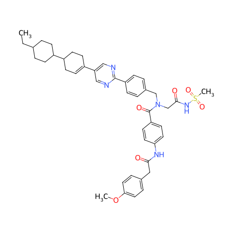 CCC1CCC(C2CC=C(c3cnc(-c4ccc(CN(CC(=O)NS(C)(=O)=O)C(=O)c5ccc(NC(=O)Cc6ccc(OC)cc6)cc5)cc4)nc3)CC2)CC1